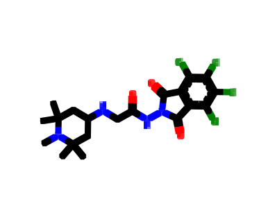 CN1C(C)(C)CC(NCC(=O)NN2C(=O)c3c(Cl)c(Cl)c(Cl)c(Cl)c3C2=O)CC1(C)C